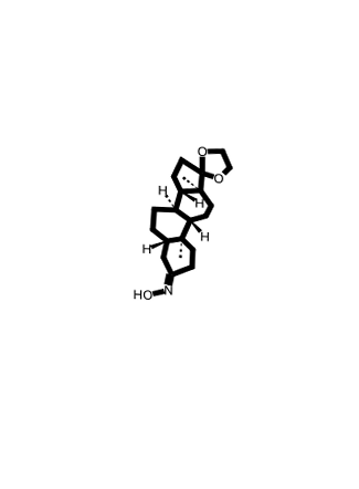 C[C@]12CCC(=NO)C[C@@H]1CC[C@@H]1[C@@H]2CC[C@@]2(C)[C@H]1CCC21OCCO1